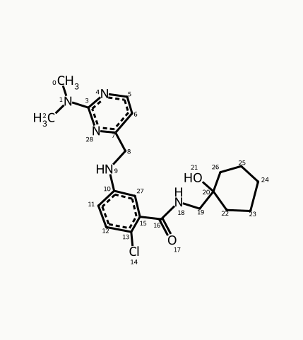 CN(C)c1nccc(CNc2ccc(Cl)c(C(=O)NCC3(O)CCCCC3)c2)n1